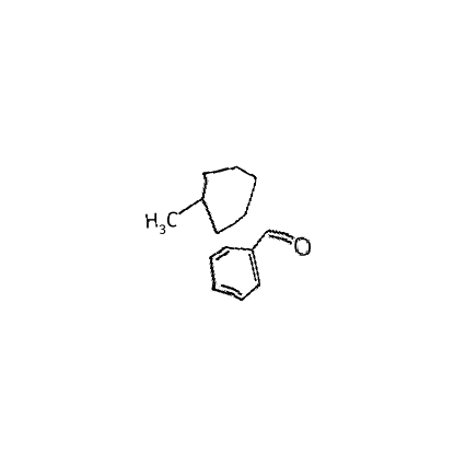 CC1CCCCC1.O=Cc1ccccc1